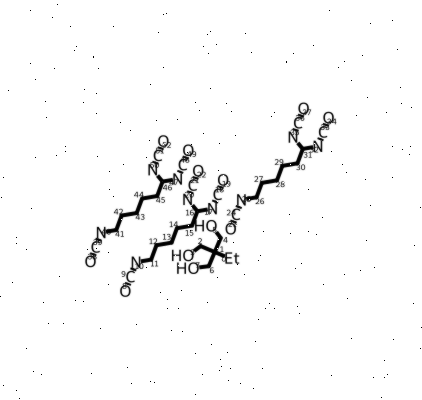 CCC(CO)(CO)CO.O=C=NCCCCCC(N=C=O)N=C=O.O=C=NCCCCCC(N=C=O)N=C=O.O=C=NCCCCCC(N=C=O)N=C=O